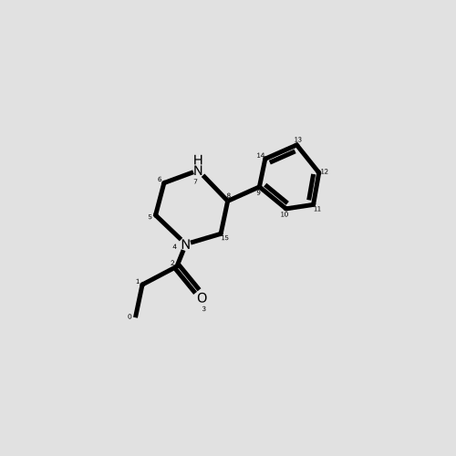 CCC(=O)N1CCNC(c2ccccc2)C1